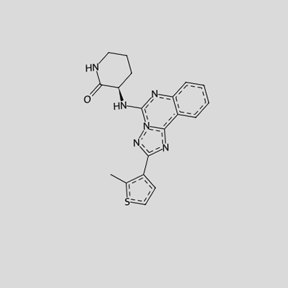 Cc1sccc1-c1nc2c3ccccc3nc(N[C@@H]3CCCNC3=O)n2n1